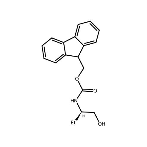 CC[C@H](CO)NC(=O)OCC1c2ccccc2-c2ccccc21